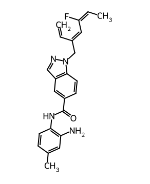 C=C/C(=C\C(F)=C/C)Cn1ncc2cc(C(=O)Nc3ccc(C)cc3N)ccc21